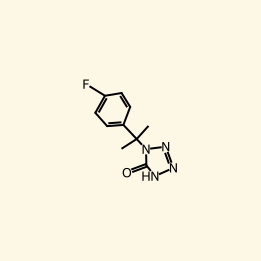 CC(C)(c1ccc(F)cc1)n1nn[nH]c1=O